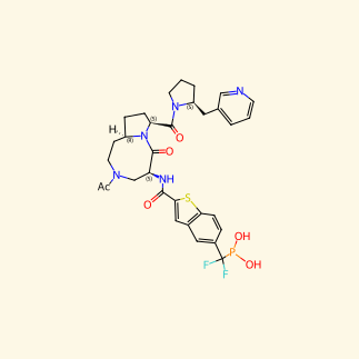 CC(=O)N1CC[C@H]2CC[C@@H](C(=O)N3CCC[C@H]3Cc3cccnc3)N2C(=O)[C@@H](NC(=O)c2cc3cc(C(F)(F)P(O)O)ccc3s2)C1